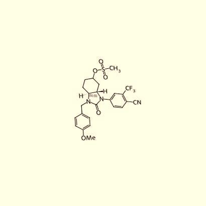 COc1ccc(CN2C(=O)N(c3ccc(C#N)c(C(F)(F)F)c3)[C@H]3CC(OS(C)(=O)=O)CC[C@@H]32)cc1